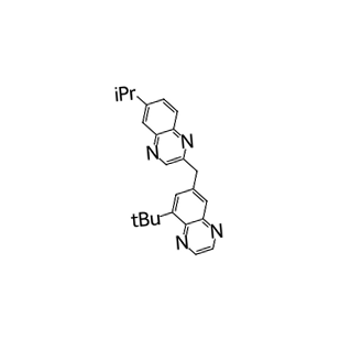 CC(C)c1ccc2nc(Cc3cc(C(C)(C)C)c4nccnc4c3)cnc2c1